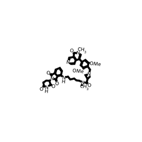 COc1cc(-c2cn(C)c(=O)c3cnccc23)cc(OC)c1CN1CC(C(=O)N(C)CCCCCNc2cccc3c2C(=O)N(C2CCC(=O)NC2=O)C3=O)C1